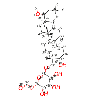 CO[C@@H]1CC(C)(C)CC2C3=CCC4[C@@]5(C)CC[C@H](O)[C@](C)(COC6OC(OC=O)C(O)C(O)C6O)C5CC[C@@]4(C)[C@]3(C)CC[C@]21C